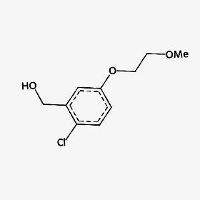 COCCOc1ccc(Cl)c(CO)c1